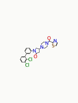 O=C(c1nccs1)N1CCN(C2CC(=O)N(c3cccc(-c4cccc(Cl)c4Cl)c3)C2)CC1